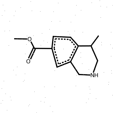 COC(=O)c1ccc2c(c1)CNCC2C